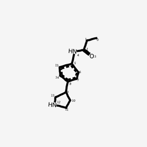 CCC(=O)Nc1ccc(C2CCNC2)cc1